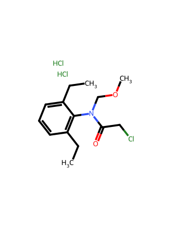 CCc1cccc(CC)c1N(COC)C(=O)CCl.Cl.Cl